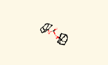 O=C(OC12CC3CC(CC(C3)C1)C2)OC12CC3CC(CC(C3)C1)C2